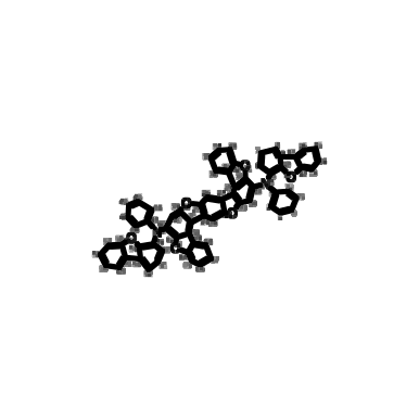 c1ccc(N(c2cccc3c2oc2ccccc23)c2cc3oc4cc5c(cc4c3c3c2oc2ccccc23)oc2cc(N(c3ccccc3)c3cccc4c3oc3ccccc34)c3oc4ccccc4c3c25)cc1